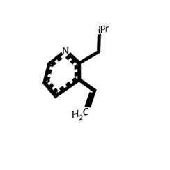 C=Cc1cccnc1CC(C)C